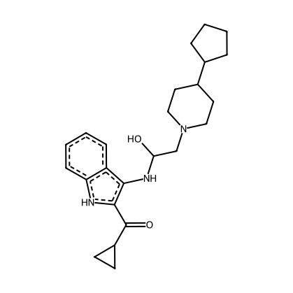 O=C(c1[nH]c2ccccc2c1NC(O)CN1CCC(C2CCCC2)CC1)C1CC1